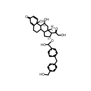 CC12C=CC(=O)C=C1CCC1C2[C@@H](O)CC2(C)C1C[C@@H](OC(O)c1ccc(Cc3ccc(CO)cc3)cc1)C2C(=O)CO